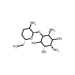 NC[C@@H]1CCC(N)[C@@H](OC2C(O)[C@@H](O)[C@H](N)C(O)[C@@H]2N)O1